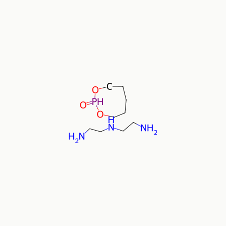 NCCNCCN.O=[PH]1OCCCCCO1